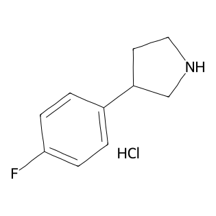 Cl.Fc1ccc(C2CCNC2)cc1